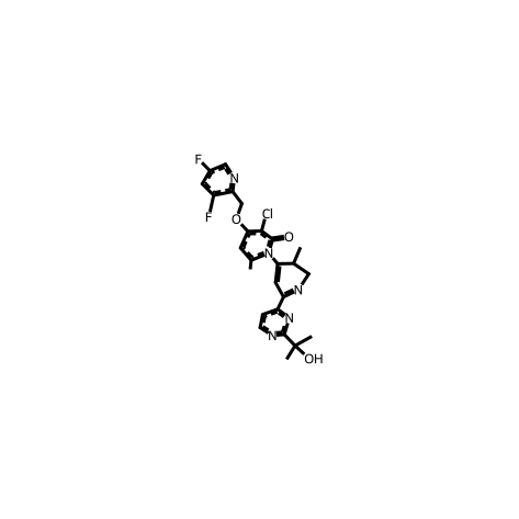 Cc1cc(OCc2ncc(F)cc2F)c(Cl)c(=O)n1C1=CC(c2ccnc(C(C)(C)O)n2)=NCC1C